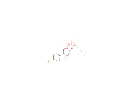 CCCCOC1CCC(C(=O)O)(c2ccc(-c3ccc(F)cc3)c(F)c2)CC1